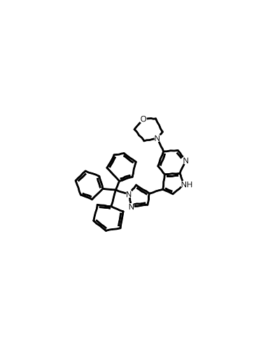 c1ccc(C(c2ccccc2)(c2ccccc2)n2cc(-c3c[nH]c4ncc(N5CCOCC5)cc34)cn2)cc1